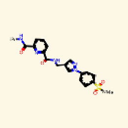 CNS(=O)(=O)c1ccc(-n2cc(CNC(=O)c3cccc(C(=O)NC(C)C)n3)cn2)cc1